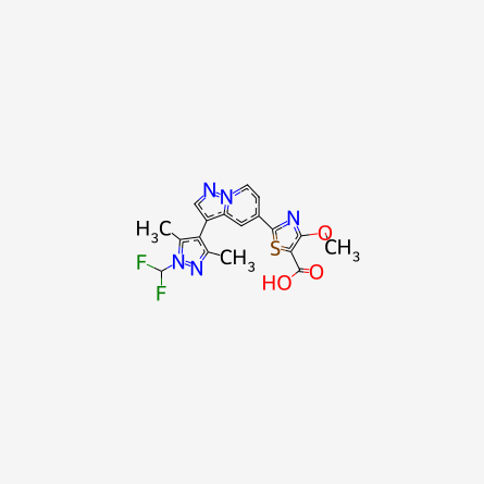 COc1nc(-c2ccn3ncc(-c4c(C)nn(C(F)F)c4C)c3c2)sc1C(=O)O